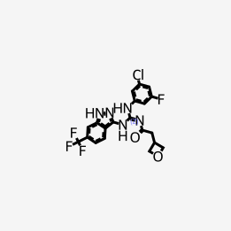 O=C(CC1COC1)/N=C(/Nc1cc(F)cc(Cl)c1)Nc1n[nH]c2cc(C(F)(F)F)ccc12